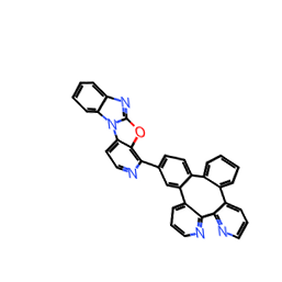 c1ccc2c(c1)-c1ccc(-c3nccc4c3oc3nc5ccccc5n34)cc1-c1cccnc1-c1ncccc1-2